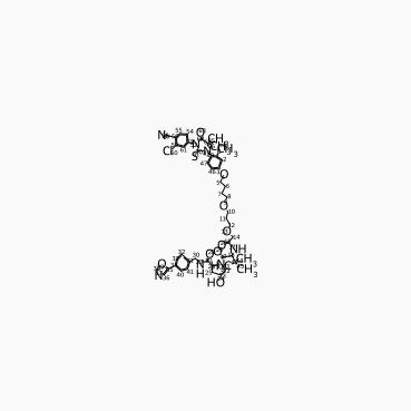 Cc1cc(OCCCCOCCCOCC(=O)N[C@H](C(=O)N2C[C@H](O)C[C@H]2C(=O)NCc2ccc(-c3cnco3)cc2)C(C)(C)C)ccc1N1C(=S)N(c2ccc(C#N)c(Cl)c2)C(=O)C1(C)C